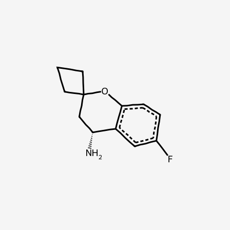 N[C@@H]1CC2(CCC2)Oc2ccc(F)cc21